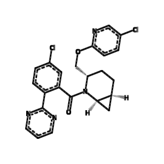 O=C(c1cc(Cl)ccc1-c1ncccn1)N1[C@H](COc2ccc(Cl)cn2)CC[C@H]2C[C@H]21